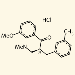 CNC[C@H](Cc1cccc(C)c1)C(=O)c1cccc(OC)c1.Cl